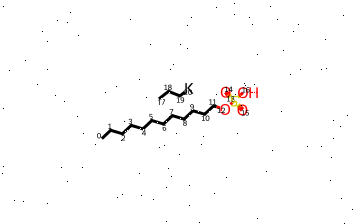 CCCCCCCCCCCCOS(=O)(=O)O.CC[CH2][K]